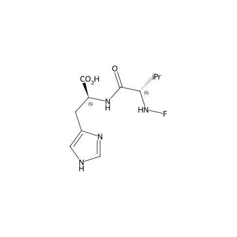 CC(C)[C@H](NF)C(=O)N[C@@H](Cc1c[nH]cn1)C(=O)O